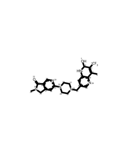 CC1=C(C(F)(F)F)C(O)Nc2cc(CN3CCN(c4cc5c(cn4)C(=O)N(C)C5)CC3)cnc21